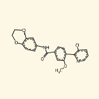 COc1cc(C(=O)Nc2ccc3c(c2)OCCO3)ccc1-c1ncccc1Cl